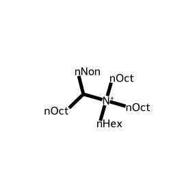 CCCCCCCCCC(CCCCCCCC)[N+](CCCCCC)(CCCCCCCC)CCCCCCCC